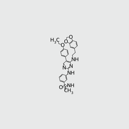 CCOc1ccc(-c2cnc(Nc3cccc(S(C)(=N)=O)c3)nc2NCCc2ccc3c(c2)OCO3)cc1